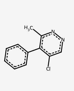 Cc1nncc(Cl)c1-c1ccccc1